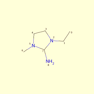 CCN1CCN(C)C1N